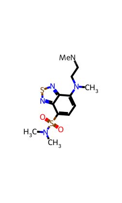 CNCCN(C)c1ccc(S(=O)(=O)N(C)C)c2nsnc12